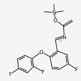 C=C(/N=C/c1cc(F)ccc1Oc1ccc(F)cc1F)O[Si](C)(C)C